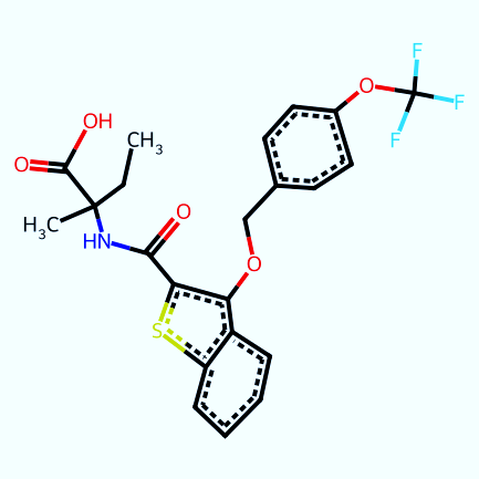 CCC(C)(NC(=O)c1sc2ccccc2c1OCc1ccc(OC(F)(F)F)cc1)C(=O)O